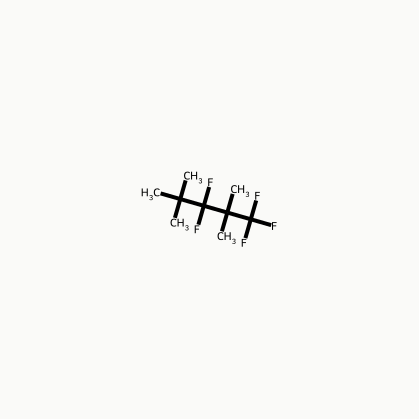 CC(C)(C)C(F)(F)C(C)(C)C(F)(F)F